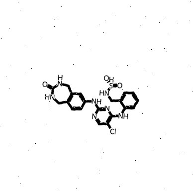 O=C1NCc2ccc(Nc3ncc(Cl)c(Nc4ccccc4CN[SH](=O)=O)n3)cc2CN1